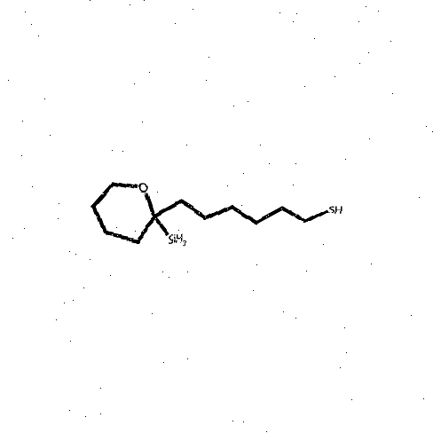 [SiH3]C1(CCCCCCS)CCCCO1